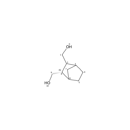 OCC1C2CCC(C2)[C@@H]1CO